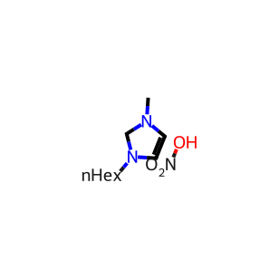 CCCCCCN1C=CN(C)C1.O=[N+]([O-])O